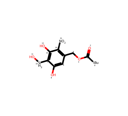 CC(C)(C)C(=O)OCc1cc(O)c([SiH2]O)c(O)c1[N+](=O)[O-]